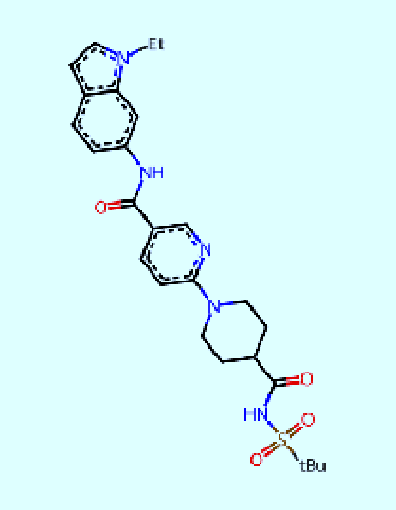 CCn1ccc2ccc(NC(=O)c3ccc(N4CCC(C(=O)NS(=O)(=O)C(C)(C)C)CC4)nc3)cc21